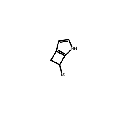 CCC1Cc2cc[nH]c21